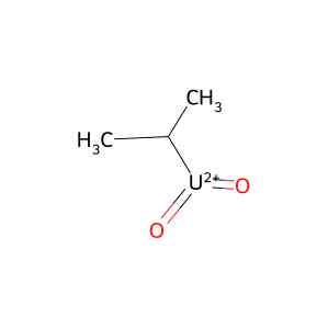 C[CH](C)[U+2](=[O])=[O]